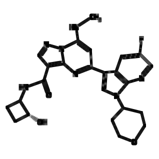 CNc1cc(-c2cn(C3CCOCC3)c3ncc(F)cc23)nc2c(C(=O)NC3CC[C@H]3O)cnn12